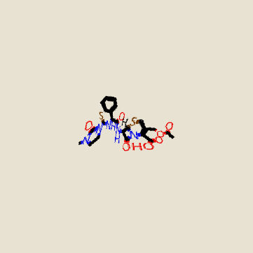 CC(=O)OCC1=C(C(=O)O)N2C(=O)C(NC(=O)C(NC(=S)N3CCN(C)C3=O)c3ccccc3)[C@@H]2SC1